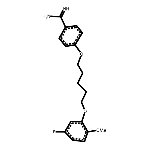 COc1ccc(F)cc1OCCCCCOc1ccc(C(=N)N)cc1